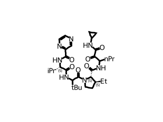 CCCC(NC(=O)[C@@H]1[C@@H](CC)CCN1C(=O)C(NC(=O)[C@@H](NC(=O)c1cnccn1)C(C)C)C(C)(C)C)C(=O)C(=O)NC1CC1